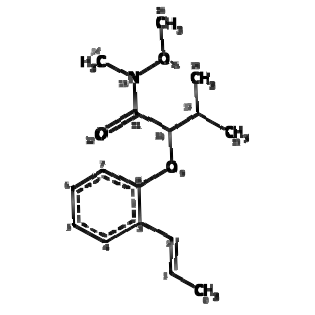 C/C=C/c1ccccc1OC(C(=O)N(C)OC)C(C)C